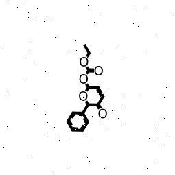 CCOC(=O)OC1C=CC(=O)C(c2ccccc2)O1